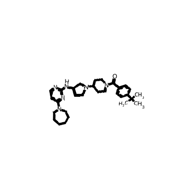 CC(C)(C)c1ccc(C(=O)N2CCC(N3CCC(Nc4nccc(N5CCCCCC5)n4)C3)CC2)cc1